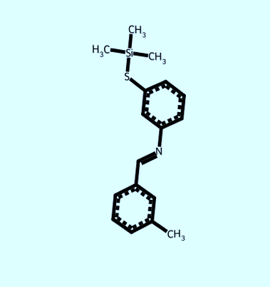 Cc1cccc(C=Nc2cccc(S[Si](C)(C)C)c2)c1